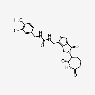 Cc1ccc(CNC(=O)NCc2scc3c2CN(C2CCCC(=O)NC2=O)C3=O)cc1Cl